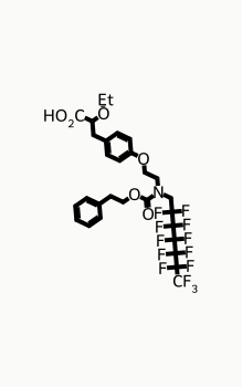 CCOC(Cc1ccc(OCCN(CC(F)(F)C(F)(F)C(F)(F)C(F)(F)C(F)(F)C(F)(F)F)C(=O)OCCc2ccccc2)cc1)C(=O)O